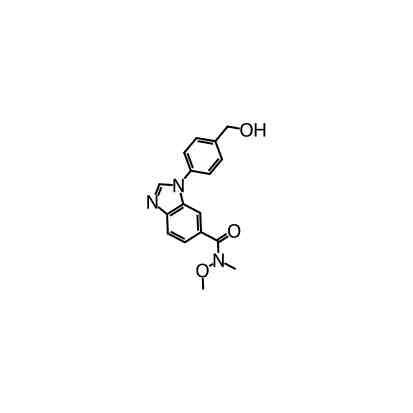 CON(C)C(=O)c1ccc2ncn(-c3ccc(CO)cc3)c2c1